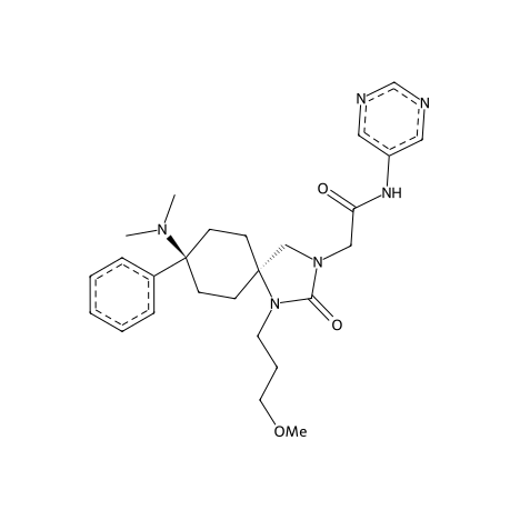 COCCCN1C(=O)N(CC(=O)Nc2cncnc2)C[C@]12CC[C@](c1ccccc1)(N(C)C)CC2